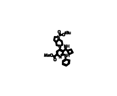 COC(=O)c1cc(N2CCC3C(CCN3C(=O)OC(C)(C)C)C2)c(C(=N)C2CCC2)c(Nc2ccccc2)n1